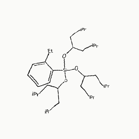 CCc1ccccc1[Si](OC(CC(C)C)CC(C)C)(OC(CC(C)C)CC(C)C)OC(CC(C)C)CC(C)C